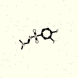 CN(C)C=NS(=O)(=O)c1ccc(F)c(F)c1